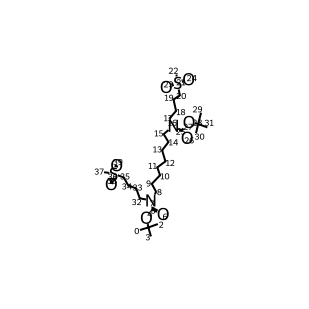 CC(C)(C)OC(=O)N(CCCCCCCCN(CCCCS(C)(=O)=O)C(=O)OC(C)(C)C)CCCCS(C)(=O)=O